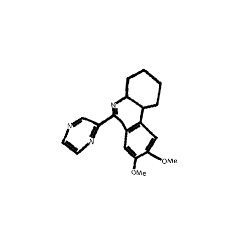 COc1cc2c(cc1OC)C1CCCCC1N=C2c1cnccn1